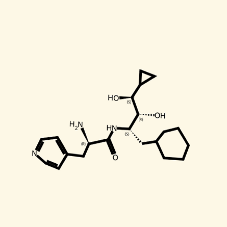 N[C@H](Cc1ccncc1)C(=O)N[C@@H](CC1CCCCC1)[C@@H](O)[C@@H](O)C1CC1